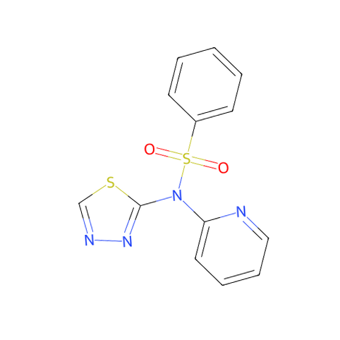 O=S(=O)(c1ccccc1)N(c1ccccn1)c1nncs1